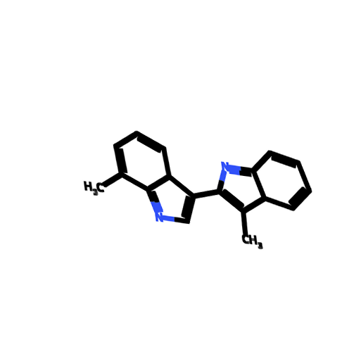 CC1=CC=CC2C(C3=C(C)C4C=CC=CC4=N3)=CN=C12